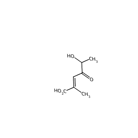 CC(=CC(=O)C(C)O)C(=O)O